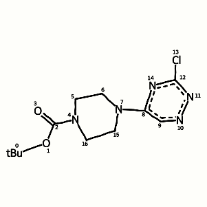 CC(C)(C)OC(=O)N1CCN(c2cnnc(Cl)n2)CC1